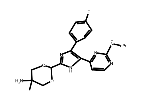 CCCNc1nccc(-c2[nH]c(C3OCC(C)(N)CO3)nc2-c2ccc(F)cc2)n1